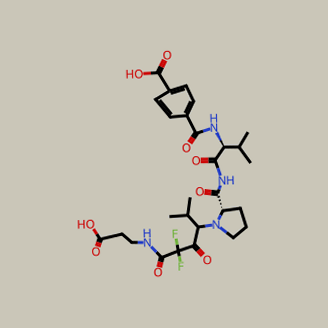 CC(C)C(C(=O)C(F)(F)C(=O)NCCC(=O)O)N1CCC[C@H]1C(=O)NC(=O)[C@@H](NC(=O)c1ccc(C(=O)O)cc1)C(C)C